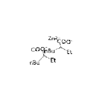 CCCCC(CC)C(=O)[O-].CCCCC(CC)C(=O)[O-].[Zn+2]